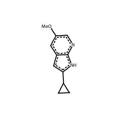 COc1cnc2[nH]c(C3CC3)cc2c1